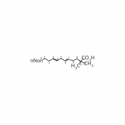 CCCCCCCCCCCC=CCC=CCCC(C)(C)C(=O)O